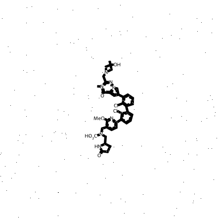 COc1nc(-c2cccc(-c3cccc(-c4cc5c(=O)n(C)c(CN6CC(C)(O)C6)nn5c4)c3Cl)c2Cl)ccc1CN(CC1CCC(=O)N1)C(=O)O